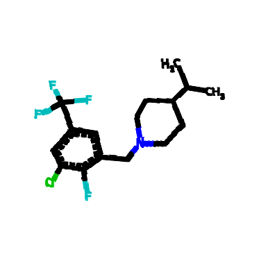 CC(C)C1CCN(Cc2cc(C(F)(F)F)cc(Cl)c2F)CC1